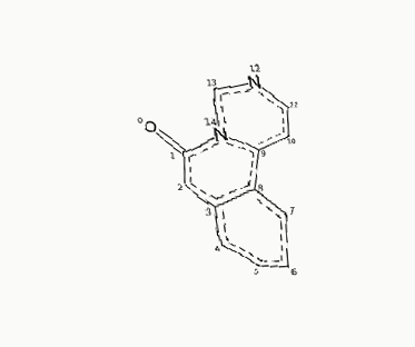 O=c1cc2ccccc2c2ccncn12